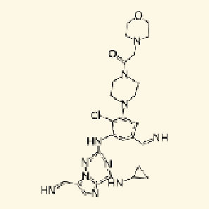 N=Cc1cc(Nc2nc(NC3CC3)c3ncc(C=N)n3n2)c(Cl)c(N2CCN(C(=O)CN3CCOCC3)CC2)c1